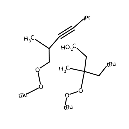 CC(C)(C)CC(C)(CC(=O)O)OOC(C)(C)C.CC(C)C#CC(C)COOC(C)(C)C